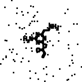 C=CC(=O)Oc1nc(N)nc(CCN)n1